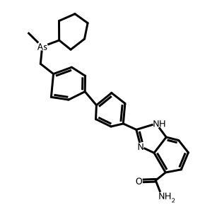 C[As](Cc1ccc(-c2ccc(-c3nc4c(C(N)=O)cccc4[nH]3)cc2)cc1)C1CCCCC1